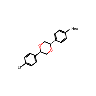 CCCCCCc1ccc([C@H]2CO[C@H](c3ccc(CC)cc3)CO2)cc1